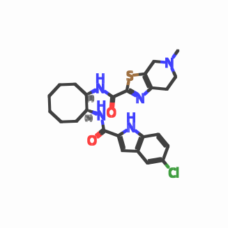 CN1CCc2nc(C(=O)N[C@@H]3CCCCCC[C@@H]3NC(=O)c3cc4cc(Cl)ccc4[nH]3)sc2C1